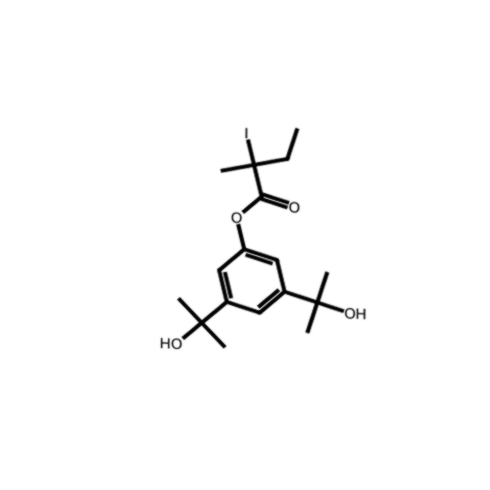 CCC(C)(I)C(=O)Oc1cc(C(C)(C)O)cc(C(C)(C)O)c1